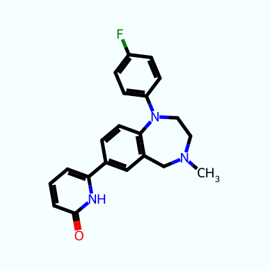 CN1CCN(c2ccc(F)cc2)c2ccc(-c3cccc(=O)[nH]3)cc2C1